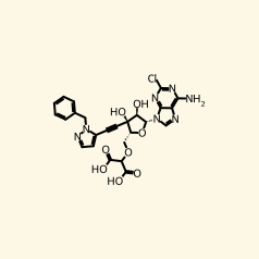 Nc1nc(Cl)nc2c1ncn2[C@@H]1O[C@H](COC(C(=O)O)C(=O)O)[C@](O)(C#Cc2ccnn2Cc2ccccc2)[C@H]1O